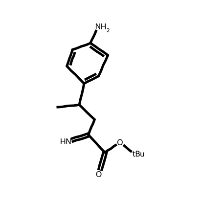 CC(CC(=N)C(=O)OC(C)(C)C)c1ccc(N)cc1